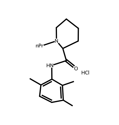 CCCN1CCCCC1C(=O)Nc1c(C)ccc(C)c1C.Cl